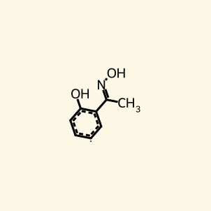 CC(=NO)c1c[c]ccc1O